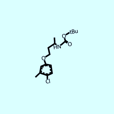 Cc1cc(OCCC(C)NC(=O)OC(C)(C)C)ccc1Cl